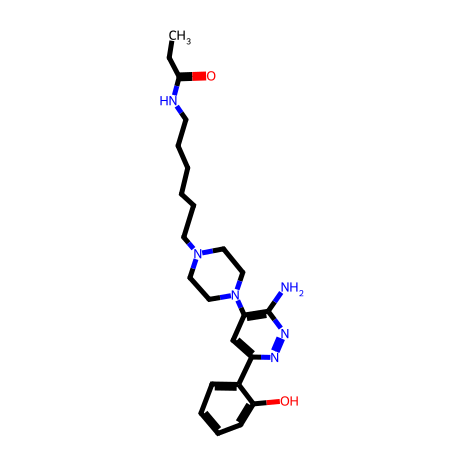 CCC(=O)NCCCCCCN1CCN(c2cc(-c3ccccc3O)nnc2N)CC1